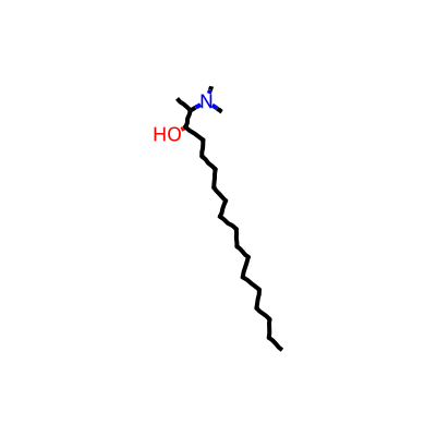 CCCCCCCCCCCCCCCC(O)C(C)N(C)C